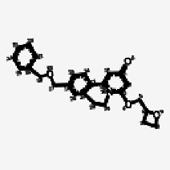 O=c1cc(OCC2CCO2)n2c(c1)-c1ccc(COCc3ccccc3)cc1CC2